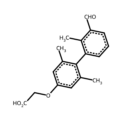 Cc1cc(OCC(=O)O)cc(C)c1-c1cccc(C=O)c1C